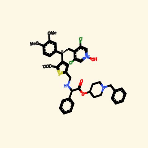 COc1ccc([C@H](Cc2c(Cl)c[n+](O)cc2Cl)c2cc(CNC(C(=O)OC3CCN(Cc4ccccc4)CC3)c3ccccc3)sc2C(=O)[O-])cc1OC